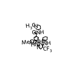 COc1cc(C(=O)NC2CCCN(C)C2)ccc1Nc1ncc(C(F)(F)F)c(N[C@@H]2CCCC[C@H]2NC(C)=O)n1